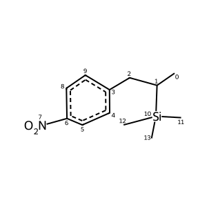 CC(Cc1ccc([N+](=O)[O-])cc1)[Si](C)(C)C